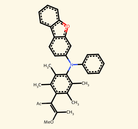 CO/C(C)=C(\C(C)=O)c1c(C)c(C)c(N(c2ccccc2)c2ccc3c(c2)oc2ccccc23)c(C)c1C